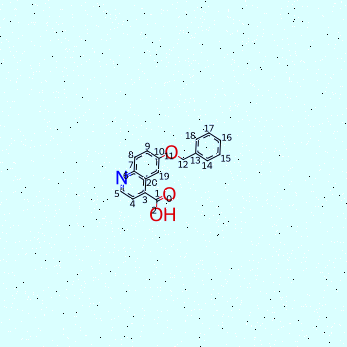 O=C(O)c1ccnc2ccc(OCc3ccccc3)cc12